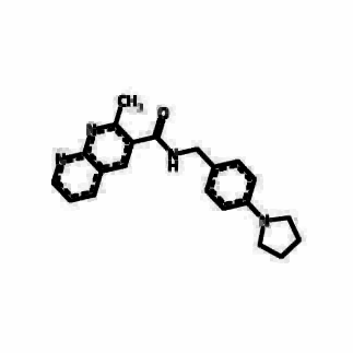 Cc1nc2ncccc2cc1C(=O)NCc1ccc(N2CCCC2)cc1